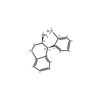 N[C@@H]1COc2ccccc2[C@@H]1c1ccccc1P